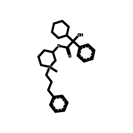 C[N+]1(CCCc2ccccc2)CCCC(OC(=O)C(O)(c2ccccc2)C2CCCCC2)C1